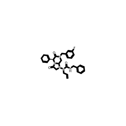 C=CCN(C(=O)NCc1ccccc1)N1CC(=O)N2C1CN(Cc1cccc(F)c1)C(=O)[C@@H]2C1=CCCC=C1